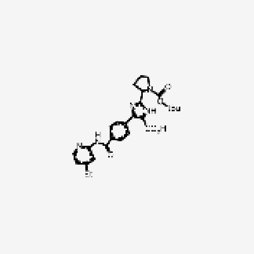 CCc1ccnc(NC(=O)c2ccc(-c3nc(C4CCCN4C(=O)OC(C)(C)C)[nH]c3C(=O)O)cc2)c1